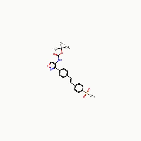 CC(C)(C)OC(=O)Nc1conc1-c1ccc(C=Cc2ccc(S(C)(=O)=O)cc2)cc1